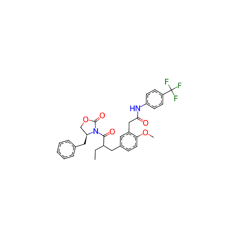 CCC(Cc1ccc(OC)c(CC(=O)Nc2ccc(C(F)(F)F)cc2)c1)C(=O)N1C(=O)OC[C@@H]1Cc1ccccc1